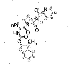 CCCC(NC(=O)Oc1oc2ccccc2c1C)C(=O)N1CCC2C1C(=O)CN2C(=O)c1ccccn1